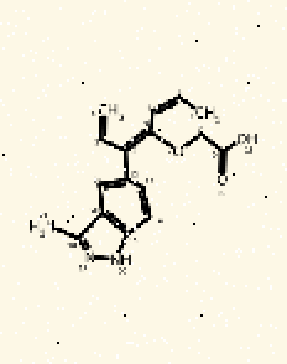 C=C/C(=C(\C=C/C)OCC(=O)O)c1ccc2[nH]nc(N)c2c1